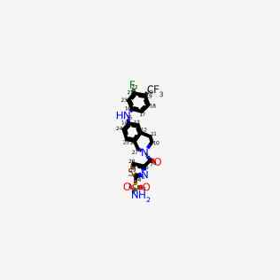 NS(=O)(=O)c1nc(C(=O)N2CCc3cc(Nc4ccc(C(F)(F)F)c(F)c4)ccc3C2)cs1